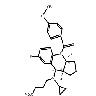 O=C(O)CCCN(C1CC1)[C@H]1c2cc(F)ccc2N(C(=O)c2ccc(OC(F)(F)F)cc2)[C@H]2CCC[C@H]21